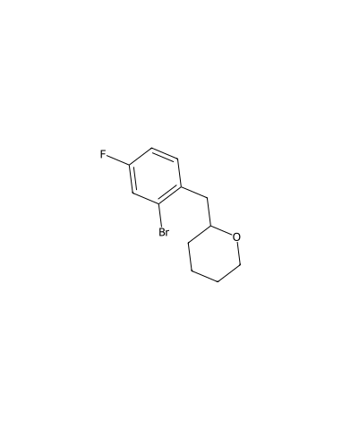 Fc1ccc(CC2CCCCO2)c(Br)c1